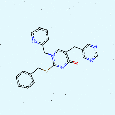 O=c1nc(SCc2ccccc2)n(Cc2ccccn2)cc1Cc1cncnc1